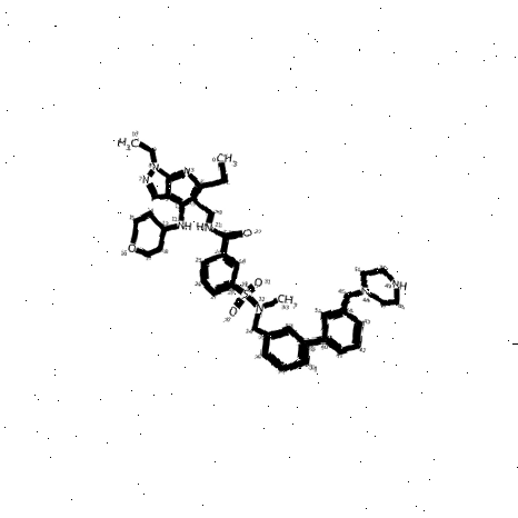 CCc1nc2c(cnn2CC)c(NC2CCOCC2)c1CNC(=O)c1cccc(S(=O)(=O)N(C)Cc2cccc(-c3cccc(CN4CCNCC4)c3)c2)c1